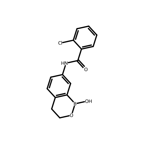 O=C(Nc1ccc2c(c1)B(O)OCC2)c1ccccc1Cl